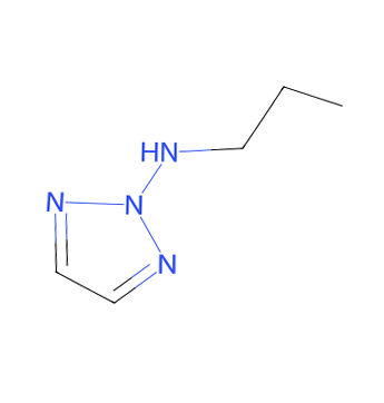 CCCNn1nccn1